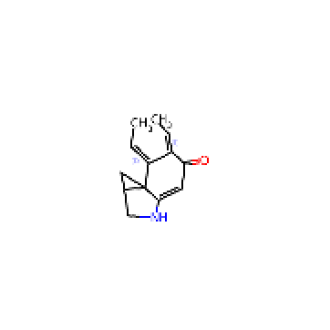 C/C=C1\C(=C/C)C(=O)C=C2NCC3CC213